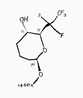 CCCCCCO[C@H]1CC[C@H](O)[C@@H](C(F)(F)C(F)(F)F)O1